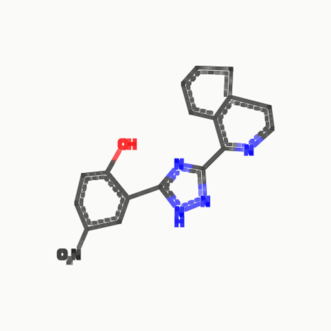 O=[N+]([O-])c1ccc(O)c(-c2nc(-c3nccc4ccccc34)n[nH]2)c1